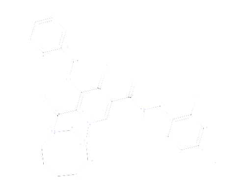 O=C(NCc1ccc(F)cc1F)c1cn2c(c(OCc3ccccc3)c1=O)C(=O)N1CCCCCN2C1